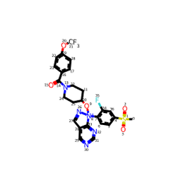 CS(=O)(=O)c1ccc([N+]2(OC3CCN(C(=O)c4ccc(OC(F)(F)F)cc4)CC3)N=Cc3cncnc32)c(F)c1